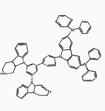 C1=NCCC2c3ccccc3N(c3cc(-c4ccc(-n5c6ccc(N(c7ccccc7)c7ccccc7)cc6c6cc(N(c7ccccc7)c7ccccc7)ccc65)cc4)cc(N4c5ccccc5C5CCNCC54)c3)C12